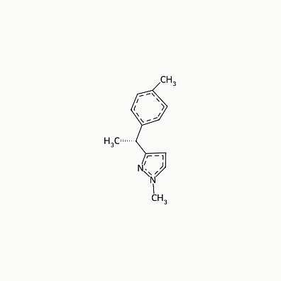 Cc1ccc([C@@H](C)c2ccn(C)n2)cc1